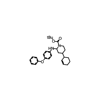 CC(C)(C)OC(=O)N1CCC(C2C=CCCC2)CC1Nc1ccc(Oc2ccccc2)cc1